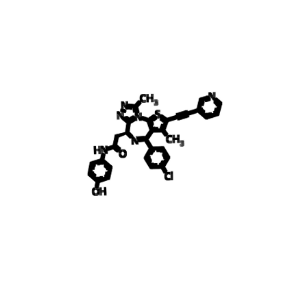 Cc1c(C#Cc2cccnc2)sc2c1C(c1ccc(Cl)cc1)=N[C@@H](CC(=O)Nc1ccc(O)cc1)c1nnc(C)n1-2